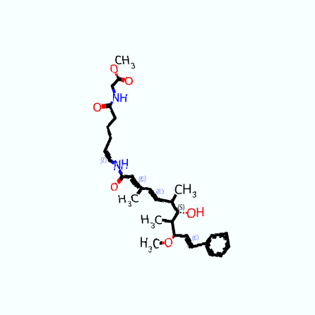 COC(=O)CNC(=O)CCC/C=C\NC(=O)/C=C(C)/C=C/C(C)[C@H](O)C(C)C(/C=C/c1ccccc1)OC